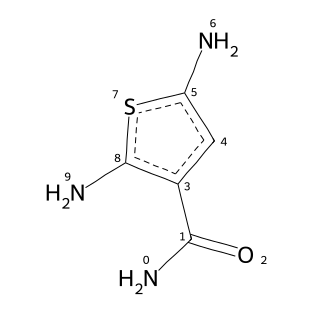 NC(=O)c1cc(N)sc1N